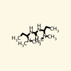 CCC(NC(=O)NC(CC)N(C)C)N(C)C